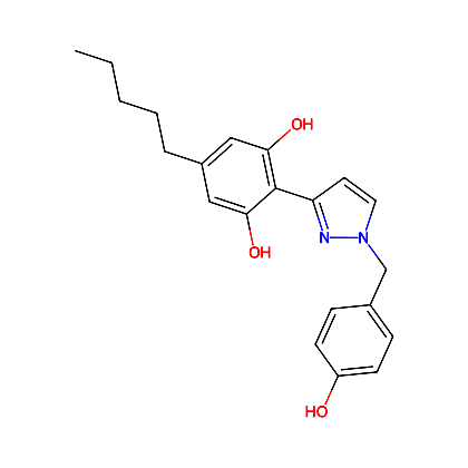 CCCCCc1cc(O)c(-c2ccn(Cc3ccc(O)cc3)n2)c(O)c1